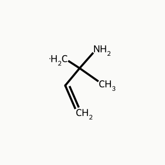 [CH2]C(C)(N)C=C